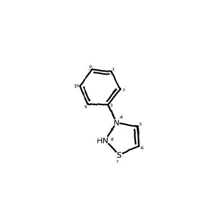 [c]1ccc(N2C=CSN2)cc1